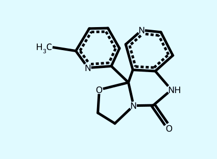 Cc1cccc(C23OCCN2C(=O)Nc2ccncc23)n1